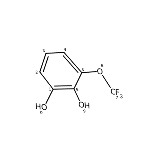 Oc1cccc(OC(F)(F)F)c1O